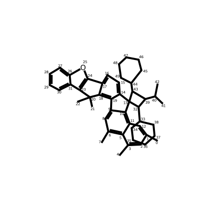 Cc1cc(C)c2c(C)cc3c(c2c1)C1(c2ccc4c(c2-3)C(C)(C)c2c-4oc3ccccc23)C(C2CCCCC2)C(C(C)C)C1C1CCCCC1